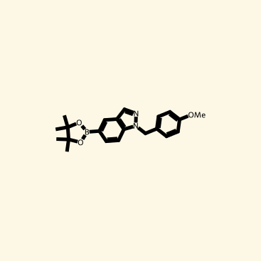 COc1ccc(Cn2ncc3cc(B4OC(C)(C)C(C)(C)O4)ccc32)cc1